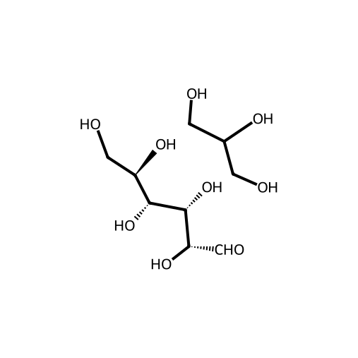 O=C[C@H](O)[C@@H](O)[C@H](O)[C@H](O)CO.OCC(O)CO